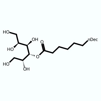 CCCCCCCCCCCCCCCC(=O)O[C@@H]([C@H](O)[C@@H](O)CO)[C@H](O)CO